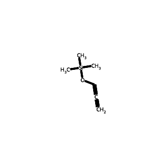 C=C=CO[Si](C)(C)C